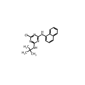 CC(C)(C)Nc1nc(Cl)nc(Nc2cccc3ccccc23)n1